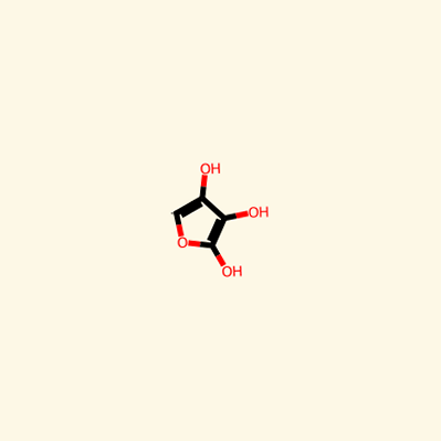 Oc1[c]oc(O)c1O